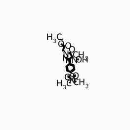 CCOC(=O)CN1N=C(c2ccc(S(=O)(=O)N(C)C)cc2)C(C)(NO)C1=O